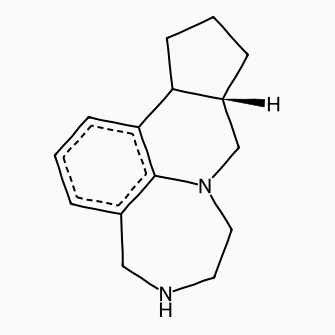 c1cc2c3c(c1)C1CCC[C@@H]1CN3CCNC2